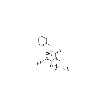 C[C@H](O)CN(C(=O)OCc1ccccc1)C(=O)N(C)C#N